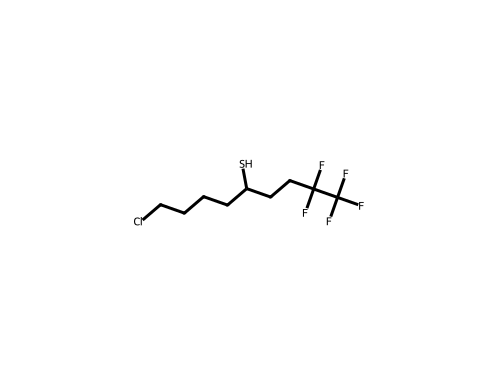 FC(F)(F)C(F)(F)CCC(S)CCCCCl